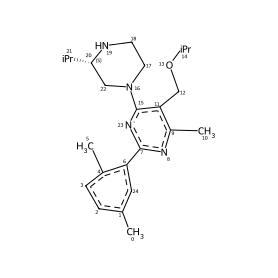 Cc1ccc(C)c(-c2nc(C)c(COC(C)C)c(N3CCN[C@@H](C(C)C)C3)n2)c1